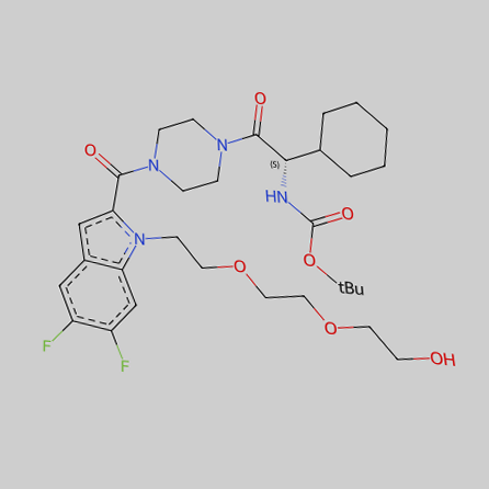 CC(C)(C)OC(=O)N[C@H](C(=O)N1CCN(C(=O)c2cc3cc(F)c(F)cc3n2CCOCCOCCO)CC1)C1CCCCC1